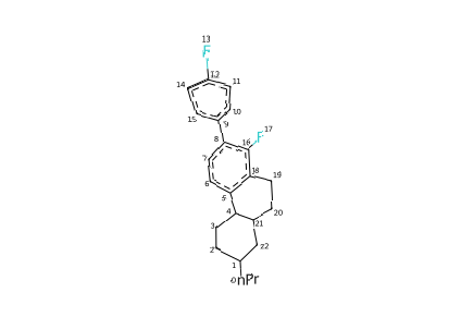 CCCC1CCC2c3ccc(-c4ccc(F)cc4)c(F)c3CCC2C1